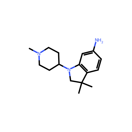 CN1CCC(N2CC(C)(C)c3ccc(N)cc32)CC1